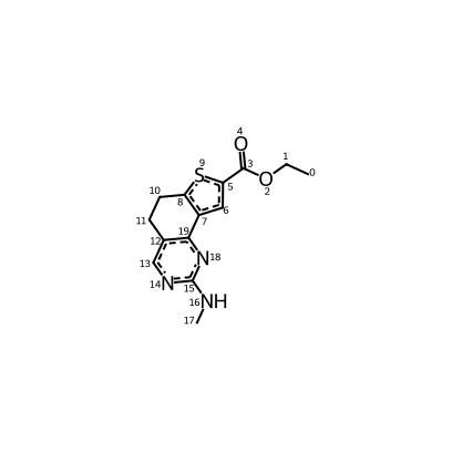 CCOC(=O)c1cc2c(s1)CCc1cnc(NC)nc1-2